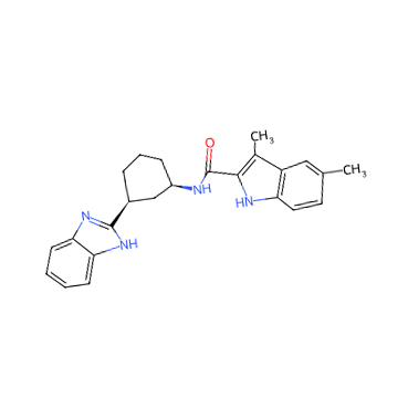 Cc1ccc2[nH]c(C(=O)N[C@@H]3CCC[C@H](c4nc5ccccc5[nH]4)C3)c(C)c2c1